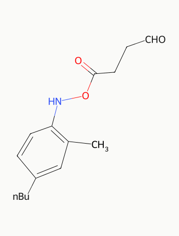 CCCCc1ccc(NOC(=O)CCC=O)c(C)c1